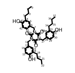 CCCCc1cc(Cn2c(=O)n(Cc3ccc(O)c(CCCC)c3)c(=O)n(Cc3ccc(O)c(CCCC)c3)c2=O)ccc1O